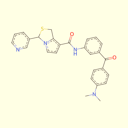 CN(C)c1ccc(C(=O)c2cccc(NC(=O)c3ccn4c3CSC4c3cccnc3)c2)cc1